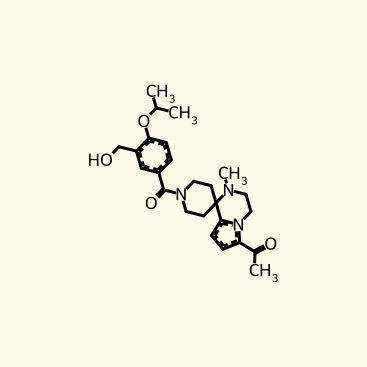 CC(=O)c1ccc2n1CCN(C)C21CCN(C(=O)c2ccc(OC(C)C)c(CO)c2)CC1